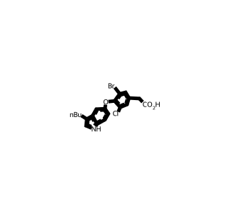 CCCCc1c[nH]c2ccc(Oc3c(Cl)cc(CC(=O)O)cc3Br)cc12